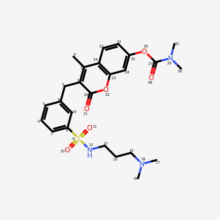 Cc1c(Cc2cccc(S(=O)(=O)NCCCN(C)C)c2)c(=O)oc2cc(OC(=O)N(C)C)ccc12